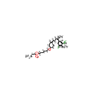 C=CC(=O)OCCCCCCOC1CCC(CCCC(CCC)c2cc(F)c(CCC)c(F)c2)CC1